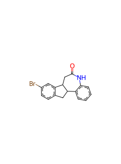 O=C1CC2c3cc(Br)ccc3CC2c2ccccc2N1